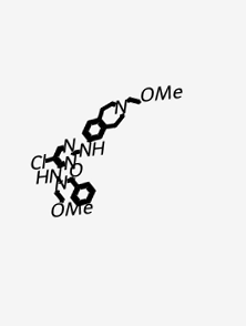 COCCN1CCc2ccc(Nc3ncc(Cl)c(NN(CCOC)C(=O)c4ccccc4)n3)cc2CC1